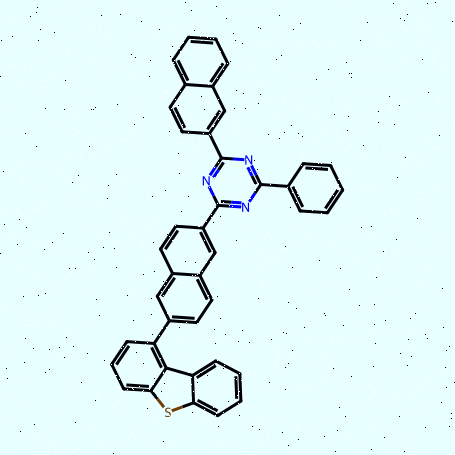 c1ccc(-c2nc(-c3ccc4ccccc4c3)nc(-c3ccc4cc(-c5cccc6sc7ccccc7c56)ccc4c3)n2)cc1